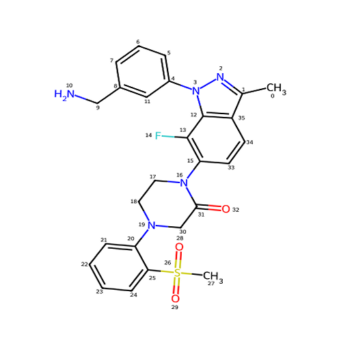 Cc1nn(-c2cccc(CN)c2)c2c(F)c(N3CCN(c4ccccc4S(C)(=O)=O)CC3=O)ccc12